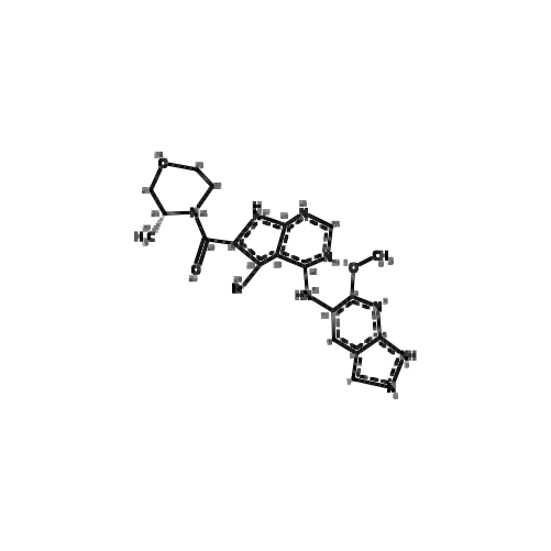 COc1nc2[nH]ncc2cc1Nc1ncnc2[nH]c(C(=O)N3CCOC[C@H]3C)c(Br)c12